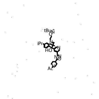 CC(=O)N1CCC(c2nc(-c3cncc(C(O)(c4ccc(C(C)C)cc4)C4(C)CN(CCO[Si](C)(C)C(C)(C)C)C4)c3)no2)CC1